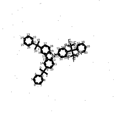 CC(C)(c1ccccc1)c1ccc2c(c1)c1cc(C(C)(C)c3ccccc3)ccc1n2-c1ccc(C(c2ccccn2)(C(F)(F)F)C(F)(F)F)cc1